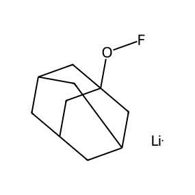 FOC12CC3CC(CC(C3)C1)C2.[Li]